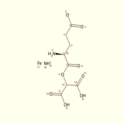 N[C@@H](CCC(=O)[O-])C(=O)OC(C(=O)O)C(=O)O.[Fe].[NH4+]